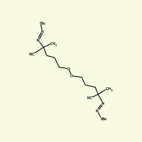 CC(C)(C)N=NC(C)(C#N)CCCOOCCCC(C)(C#N)N=NC(C)(C)C